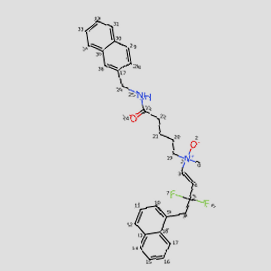 C[N+]([O-])(C=CC(F)(F)Cc1cccc2ccccc12)CCCCC(=O)NCc1ccc2ccccc2c1